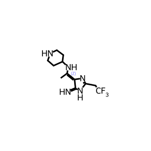 C/C(NC1CCNCC1)=C1/N=C(CC(F)(F)F)NC1=N